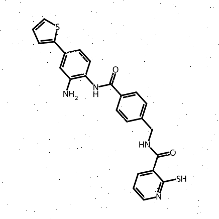 Nc1cc(-c2cccs2)ccc1NC(=O)c1ccc(CNC(=O)c2cccnc2S)cc1